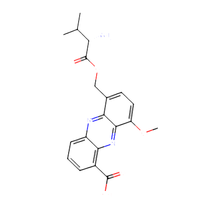 COc1ccc(COC(=O)[C@@H](N)C(C)C)c2nc3cccc(C(=O)O)c3nc12